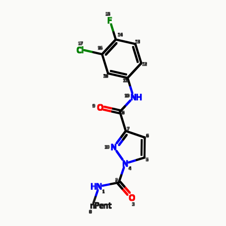 CCCCCNC(=O)n1ccc(C(=O)Nc2ccc(F)c(Cl)c2)n1